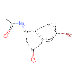 CC(=O)N[C@H]1CC(=O)c2cc(Br)ccc21